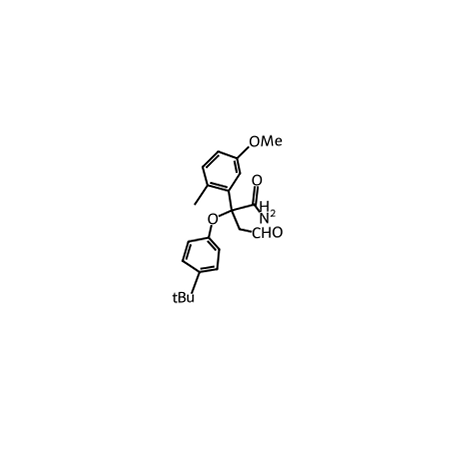 COc1ccc(C)c(C(CC=O)(Oc2ccc(C(C)(C)C)cc2)C(N)=O)c1